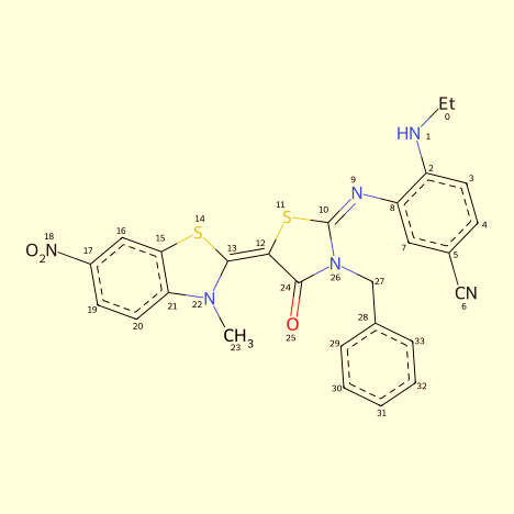 CCNc1ccc(C#N)cc1/N=C1/S/C(=C2\Sc3cc([N+](=O)[O-])ccc3N2C)C(=O)N1Cc1ccccc1